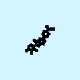 O=C1CC[C@H](N2Cc3ccc(C4CCN(C(=O)O)CC4)cc3C2=O)C(=O)N1